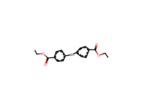 CCOC(=O)c1cc[c]([Zn][c]2ccc(C(=O)OCC)cc2)cc1